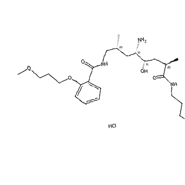 CCCCNC(=O)[C@H](C)C[C@H](O)[C@@H](N)C[C@@H](C)CNC(=O)c1ccccc1OCCCOC.Cl